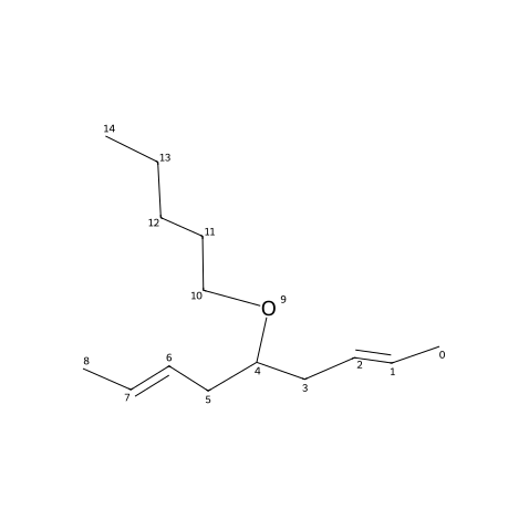 CC=CCC(CC=CC)OCCCCC